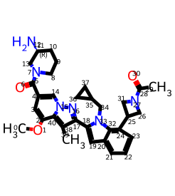 COc1cc(C(=O)N2CCC[C@@H](N)C2)cn2nc(-c3cc4cccc(C5CN(C(C)=O)C5)c4n3CC3CC3)c(C)c12